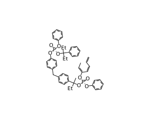 C=C/C=C\C(=C/C)OP(=O)(Oc1ccccc1)OC(C)(CC)c1ccc(Cc2ccc(OP(=O)(Oc3ccccc3)OC(CC)(CC)c3ccccc3)cc2)cc1